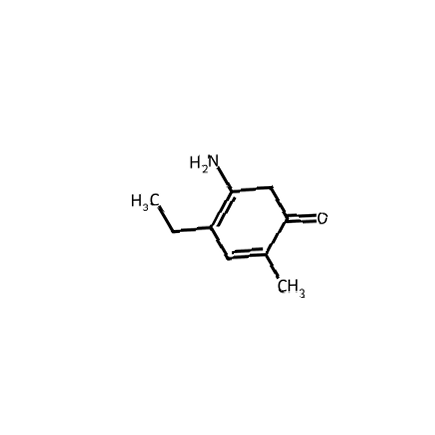 CCC1=C(N)CC(=O)C(C)=C1